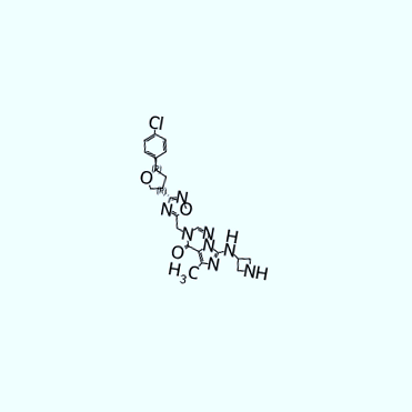 Cc1nc(NC2CNC2)n2ncn(Cc3nc([C@@H]4CO[C@@H](c5ccc(Cl)cc5)C4)no3)c(=O)c12